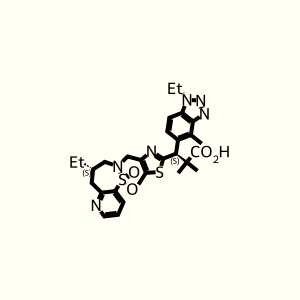 CC[C@H]1Cc2ncccc2S(=O)(=O)N(Cc2nc([C@@H](c3ccc4c(nnn4CC)c3C)C(C)(C)C(=O)O)sc2C)C1